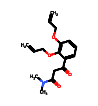 C=CCOc1cccc(C(=O)CC(=O)N(C)C)c1OCC=C